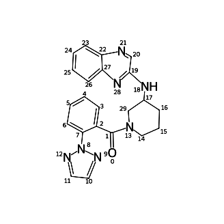 O=C(c1ccccc1-n1nccn1)N1CCCC(Nc2cnc3ccccc3n2)C1